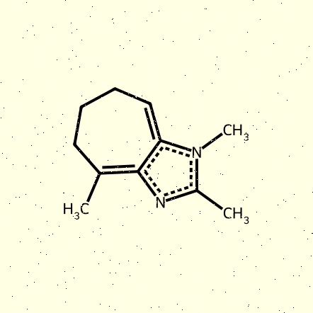 CC1=c2nc(C)n(C)c2=CCCC1